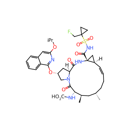 CC(C)Oc1cc2ccccc2c(O[C@@H]2C[C@H]3C(=O)N[C@]4(C(=O)NS(=O)(=O)C5(CF)CC5)C[C@H]4/C=C\CC[C@H](C)C[C@@H](C)[C@H](NC(=O)O)C(=O)N3C2)n1